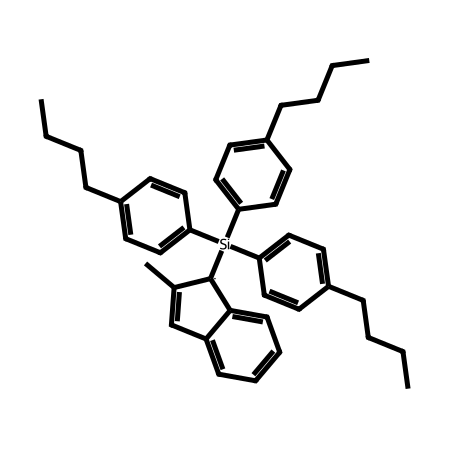 CCCCc1ccc([Si]([C]2C(C)=Cc3ccccc32)(c2ccc(CCCC)cc2)c2ccc(CCCC)cc2)cc1